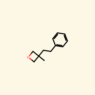 CC1(CCc2cc[c]cc2)COC1